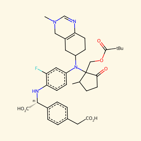 CC1CCC(=O)C1(COC(=O)C(C)(C)C)N(c1ccc(N[C@@H](C(=O)O)c2ccc(CC(=O)O)cc2)c(F)c1)C1CCC2=C(C1)CN(C)C=N2